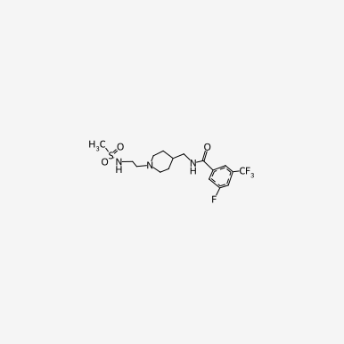 CS(=O)(=O)NCCN1CCC(CNC(=O)c2cc(F)cc(C(F)(F)F)c2)CC1